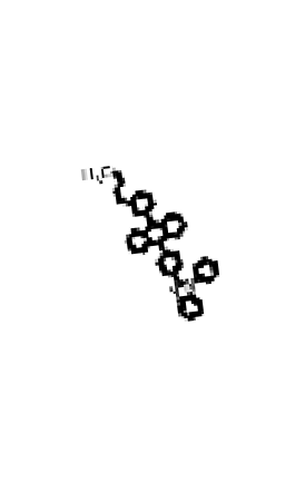 C/C=C\C=C/c1cccc(-c2c3ccccc3c(-c3ccc(-c4nc5ccccc5n4-c4ccccc4)cc3)c3ccccc23)c1